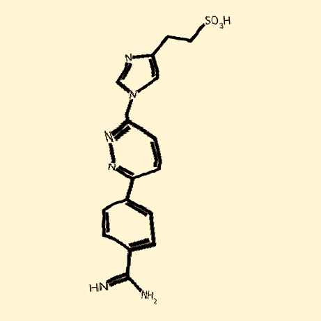 N=C(N)c1ccc(-c2ccc(-n3cnc(CCS(=O)(=O)O)c3)nn2)cc1